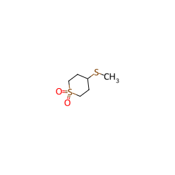 CSC1CCS(=O)(=O)CC1